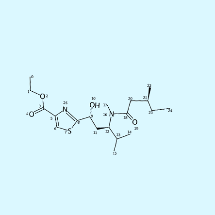 CCOC(=O)c1csc([C@H](O)C[C@H](C(C)C)N(C)C(=O)C[C@@H](C)CC)n1